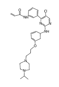 C=CC(=O)Nc1cccc(-c2nc(NC3C=CC=C(OCCCN4CCN(C(C)C)CC4)C3)ncc2Cl)c1